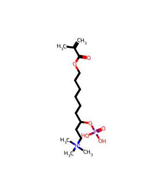 C=C(C)C(=O)OCCCCCCC(CC[N+](C)(C)C)OP(=O)(O)O